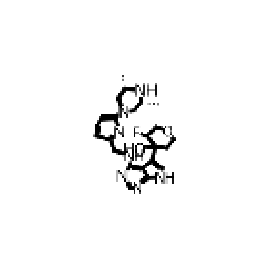 C[C@@H]1CN(c2cccc(CNc3ncnc4[nH]cc(C5(O)CCOCC5F)c34)n2)C[C@H](C)N1